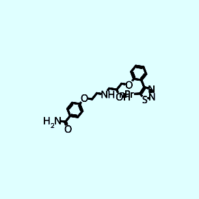 CCCc1snnc1-c1ccccc1OCC(O)CNCCOc1ccc(C(N)=O)cc1